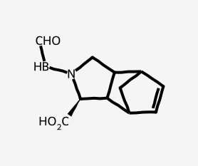 O=CBN1CC2C3C=CC(C3)C2[C@H]1C(=O)O